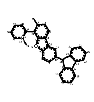 Cc1ccc2c(oc3ccc(C4c5ccccc5-c5ccccc54)cc32)c1-c1cccc[n+]1C